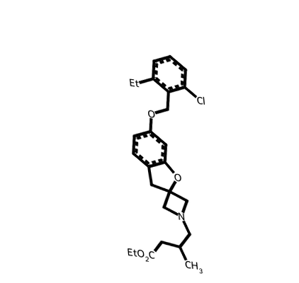 CCOC(=O)CC(C)CN1CC2(Cc3ccc(OCc4c(Cl)cccc4CC)cc3O2)C1